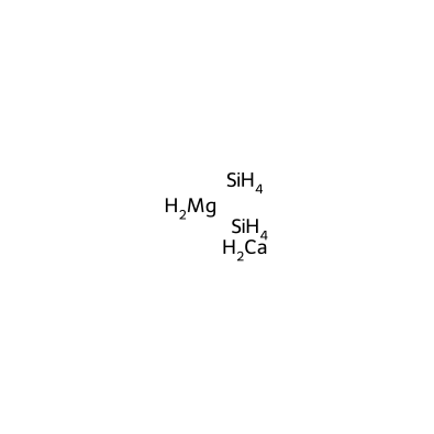 [CaH2].[MgH2].[SiH4].[SiH4]